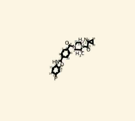 C[C@H]1CN(C(=O)c2ccc(C3Nc4ccc(F)cc4O3)cc2)CCN1C(=O)C1(N)CC1